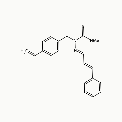 C=Cc1ccc(CN(N=CC=Cc2ccccc2)C(=S)NC)cc1